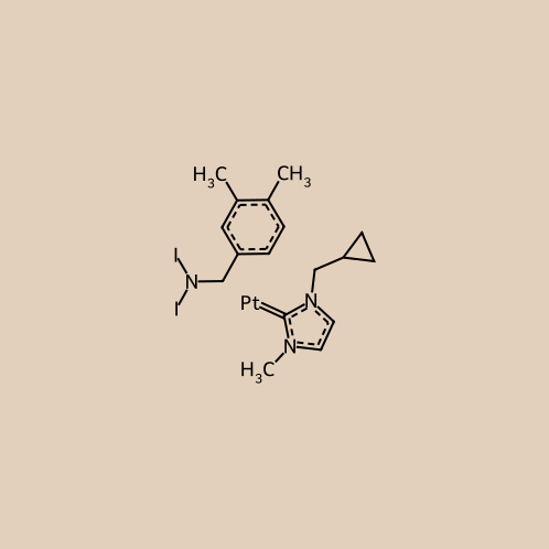 Cc1ccc(CN(I)I)cc1C.Cn1ccn(CC2CC2)[c]1=[Pt]